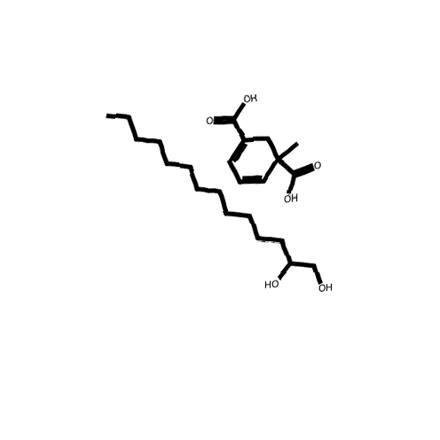 CC1(C(=O)O)C=CC=C(C(=O)O)C1.CCCCCCCCCCCCC(O)CO